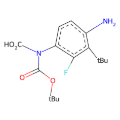 CC(C)(C)OC(=O)N(C(=O)O)c1ccc(N)c(C(C)(C)C)c1F